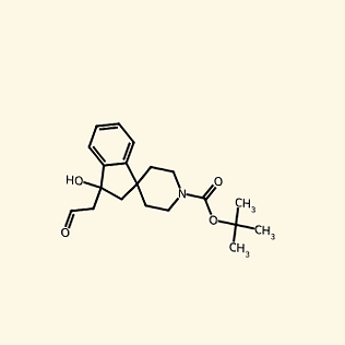 CC(C)(C)OC(=O)N1CCC2(CC1)CC(O)(CC=O)c1ccccc12